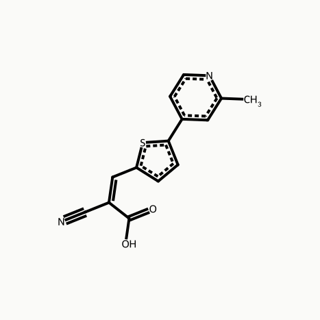 Cc1cc(-c2ccc(/C=C(/C#N)C(=O)O)s2)ccn1